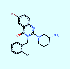 N#Cc1ccccc1Cn1c(N2CCC[C@@H](N)C2)nc2ccc(Br)cc2c1=O